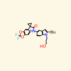 CC(C)(C)c1cc2cc(NC(=O)C3(c4ccc5c(c4)OC(F)(F)O5)CC3)ccc2n1CCCO